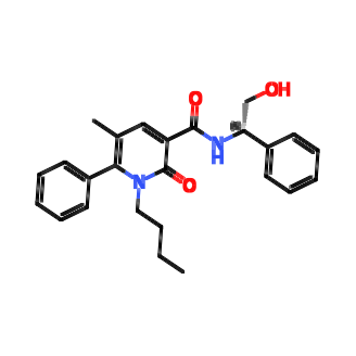 CCCCn1c(-c2ccccc2)c(C)cc(C(=O)N[C@H](CO)c2ccccc2)c1=O